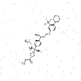 BC(B)(c1ccc(/C(C)=N/COc2ccc(C3CCCCC3)c(C(F)(F)F)c2)cc1CC)N1CC(C(=O)OC)C1